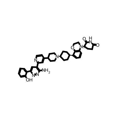 Nc1nnc(-c2ccccc2O)cc1-c1cc(C2CCN([C@H]3CC[C@H](c4cccc5c4OCCN5[C@H]4CCC(=O)NC4=O)CC3)CC2)ccn1